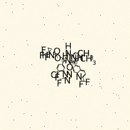 CC(C)(C)C[C@]1(c2ccc3nc(C(F)F)ccc3c2)NC(=N)N([C@H](COC(=O)NC2(C(F)(F)F)CC2)c2ccc(Cl)c(-n3ncnc3C(F)F)c2)C1=O